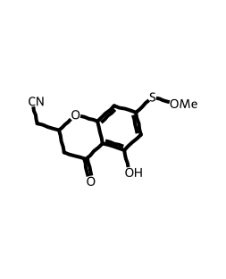 COSc1cc(O)c2c(c1)OC(CC#N)CC2=O